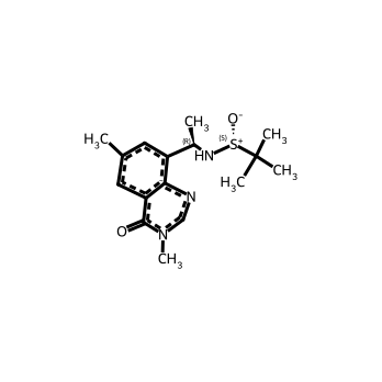 Cc1cc([C@@H](C)N[S@+]([O-])C(C)(C)C)c2ncn(C)c(=O)c2c1